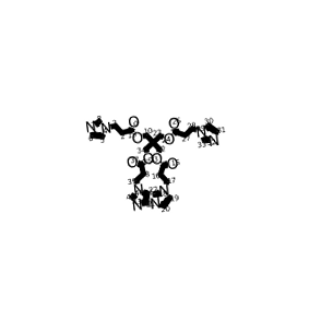 O=C(CCn1ccnc1)OCC(COC(=O)CCn1ccnc1)(COC(=O)CCn1ccnc1)COC(=O)CCn1ccnc1